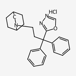 Cl.c1ccc(C(CCN2CC3CCC2CC3)(c2ccccc2)c2nnco2)cc1